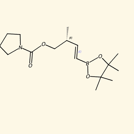 C[C@H](/C=C/B1OC(C)(C)C(C)(C)O1)COC(=O)N1CCCC1